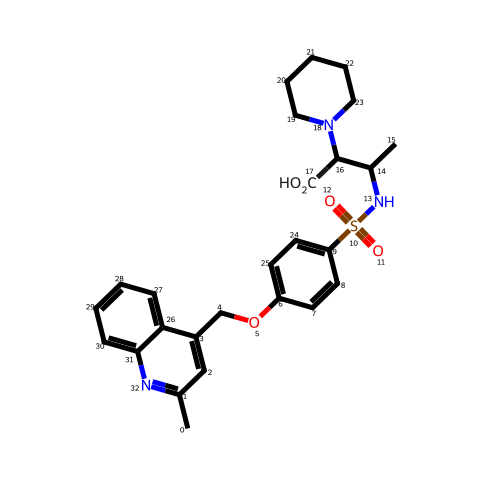 Cc1cc(COc2ccc(S(=O)(=O)NC(C)C(C(=O)O)N3CCCCC3)cc2)c2ccccc2n1